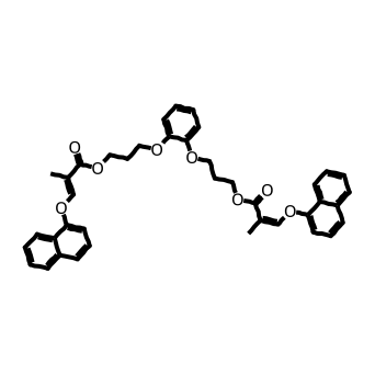 CC(=COc1cccc2ccccc12)C(=O)OCCCOc1ccccc1OCCCOC(=O)C(C)=COc1cccc2ccccc12